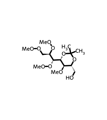 COOC[C@@H](OOC)[C@@H](OOC)[C@@H]1OC(C)(C)O[C@H](CO)[C@H]1OC